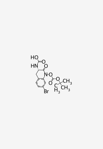 CC(C)(C)OC(=O)ON1C(=O)[C@@H](NC(=O)O)Cc2ccc(Br)cc21